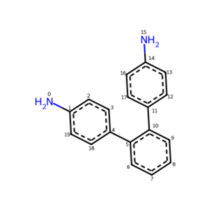 Nc1ccc(-c2ccccc2-c2ccc(N)cc2)cc1